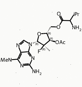 CNc1nc(N)nc2c1ncn2[C@@H]1O[C@H](COC(=O)C(N)C(C)C)[C@@H](OC(C)=O)[C@@]1(C)F